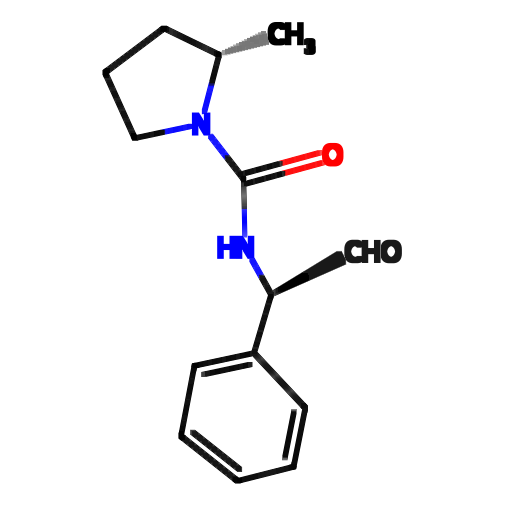 C[C@H]1CCCN1C(=O)N[C@@H](C=O)c1ccccc1